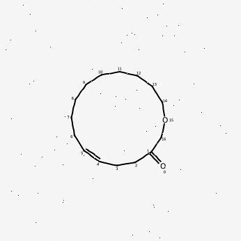 O=C1CCC=CCCCCCCCCCOC1